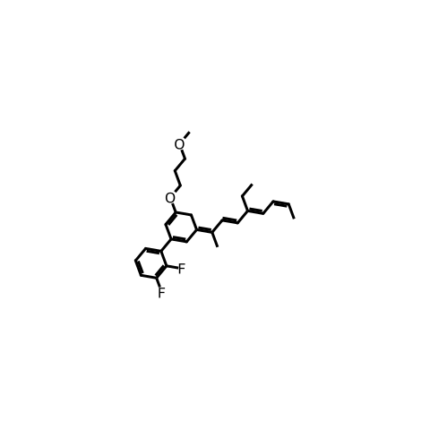 C\C=C/C=C(/C=C/C(C)=C1/C=C(c2cccc(F)c2F)C=C(OCCCOC)C1)CC